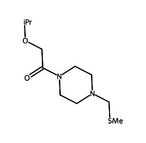 CSCN1CCN(C(=O)COC(C)C)CC1